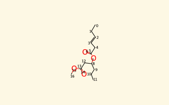 CC/C=C/CC(=O)OC(CCC)CC(=O)OC